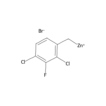 Fc1c(Cl)ccc([CH2][Zn+])c1Cl.[Br-]